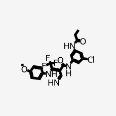 CCC(=O)Nc1cc(Cl)cc(NC(=O)/C(C=N)=C(/Nc2ccc(OC)cc2)C(F)(F)F)c1